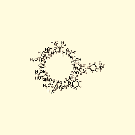 CC[C@H](C)[C@@H]1NC(=O)[C@@H]2CCCN2C(O)[C@H](Cc2cccc(-c3ccc(C(F)(F)F)cc3)c2)N(C)C(=O)[C@H](Cc2ccccc2)NC(=O)[C@H](C(C)C)N(C)C(=O)[C@@H]([C@@H](C)CC)OC(=O)[C@H](C(C)(C)O)N(C)C(=O)[C@H](CC(C)C)NC(=O)[C@H](C(C)C)N(C)C1=O